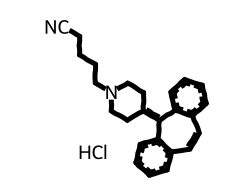 Cl.N#CCCCCN1CCC(=C2c3ccccc3C=Cc3ccccc32)CC1